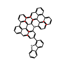 c1ccc(-c2cccc3cccc(-c4ccccc4N(c4cccc(-c5cccc6c5sc5ccccc56)c4)c4ccccc4-c4cccc5cccc(-c6ccccc6)c45)c23)cc1